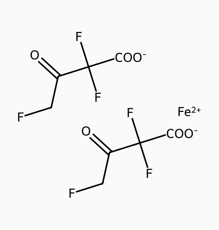 O=C([O-])C(F)(F)C(=O)CF.O=C([O-])C(F)(F)C(=O)CF.[Fe+2]